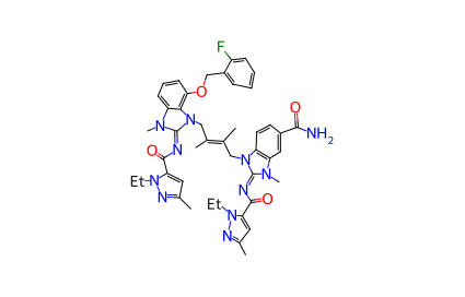 CCn1nc(C)cc1C(=O)/N=c1\n(C)c2cc(C(N)=O)ccc2n1C/C(C)=C(\C)Cn1/c(=N/C(=O)c2cc(C)nn2CC)n(C)c2cccc(OCc3ccccc3F)c21